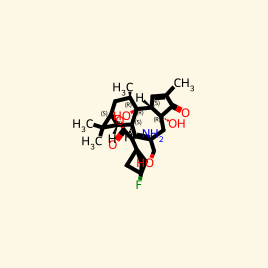 CC1=C[C@H]2[C@@]3(O)[C@H](C)C[C@]4(OC(=O)[C@@H](N)C56CC(F)(C5)C6)[C@H]([C@@H]3C=C(CO)C[C@]2(O)C1=O)C4(C)C